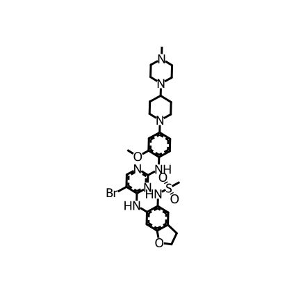 COc1cc(N2CCC(N3CCN(C)CC3)CC2)ccc1Nc1ncc(Br)c(Nc2cc3c(cc2NS(C)(=O)=O)CCO3)n1